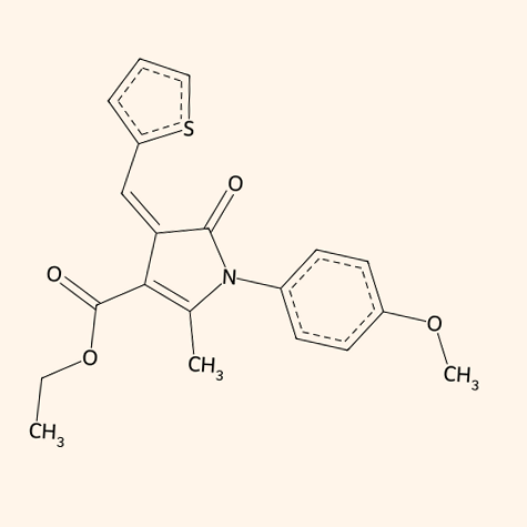 CCOC(=O)C1=C(C)N(c2ccc(OC)cc2)C(=O)/C1=C\c1cccs1